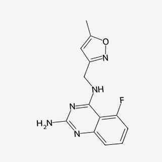 Cc1cc(CNc2nc(N)nc3cccc(F)c23)no1